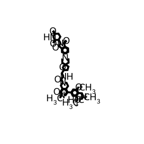 COc1cc(-c2cn(C)c(=O)c3c2CCN(C(=O)NCC2CCC4(CCN(c5ccc6c(c5)C(=O)N(C5CCC(=O)NC5=O)C6=O)CC4)O2)C3)cc(OC)c1CN(C)C